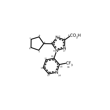 O=C(O)c1nc(C2CCCC2)n(-c2cccnc2C(F)(F)F)n1